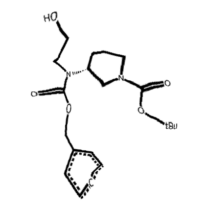 CC(C)(C)OC(=O)N1CC[C@@H](N(CCO)C(=O)OCc2ccccc2)C1